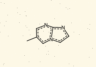 Cc1cnc2nccn2c1